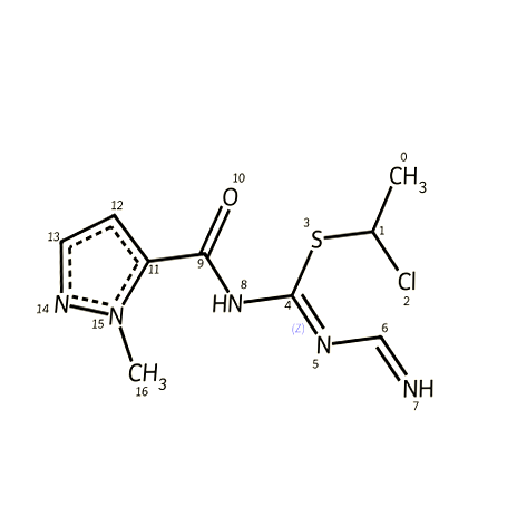 CC(Cl)S/C(=N\C=N)NC(=O)c1ccnn1C